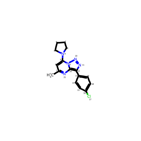 Cc1cc(N2CCCC2)n2nnc(-c3ccc(Cl)cc3)c2n1